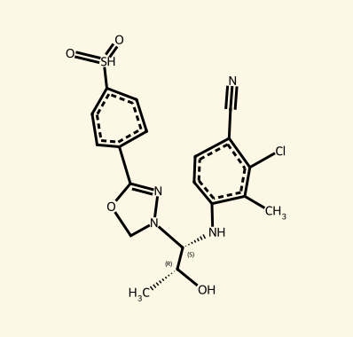 Cc1c(N[C@H]([C@@H](C)O)N2COC(c3ccc([SH](=O)=O)cc3)=N2)ccc(C#N)c1Cl